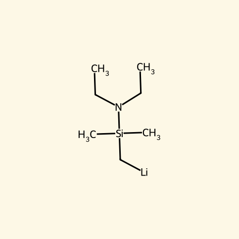 [Li][CH2][Si](C)(C)N(CC)CC